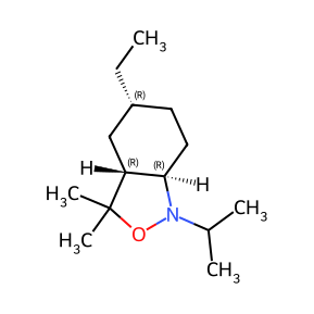 CC[C@@H]1CC[C@@H]2[C@@H](C1)C(C)(C)ON2C(C)C